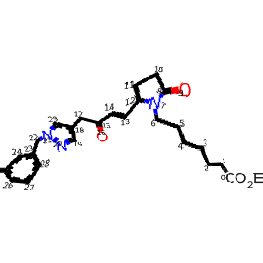 CCOC(=O)CCCCCCN1C(=O)CCC1C=CC(=O)Cc1cnn(Cc2ccccc2)c1